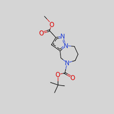 COC(=O)c1cc2n(n1)CCCN(C(=O)OC(C)(C)C)C2